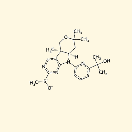 C[S@@+]([O-])c1ncc2c(n1)N(c1cccc(C(C)(C)O)n1)[C@@H]1CC(C)(C)OC[C@]21C